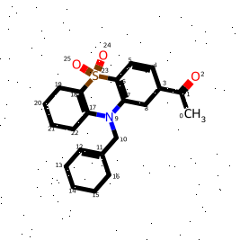 CC(=O)C1C=CC2=C(C1)N(CC1=CCCCC1)C1=C(CCCC1)S2(=O)=O